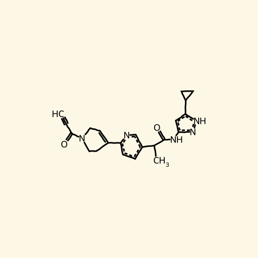 C#CC(=O)N1CC=C(c2ccc(C(C)C(=O)Nc3cc(C4CC4)[nH]n3)cn2)CC1